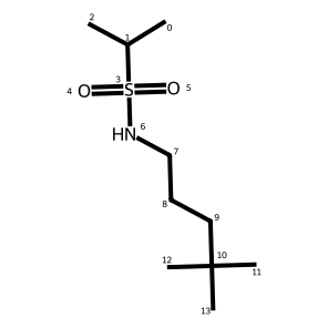 CC(C)S(=O)(=O)NCCCC(C)(C)C